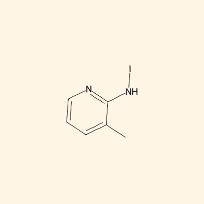 Cc1cccnc1NI